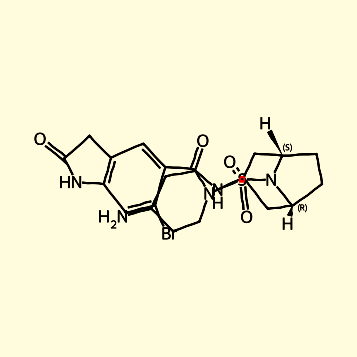 NC1CCN(S(=O)(=O)N2[C@@H]3CC[C@H]2CC(NC(=O)c2cc4c(cc2Br)NC(=O)C4)C3)CC1